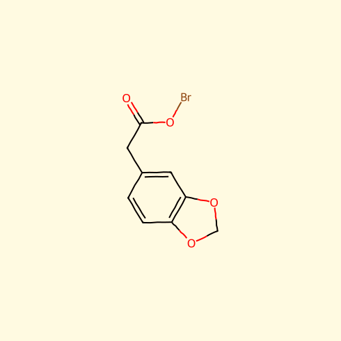 O=C(Cc1ccc2c(c1)OCO2)OBr